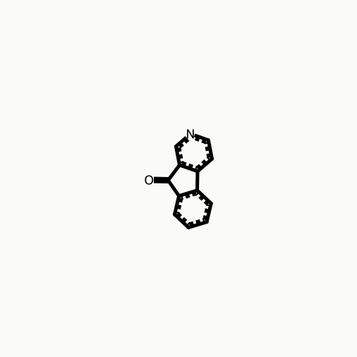 O=C1c2ccccc2-c2ccncc21